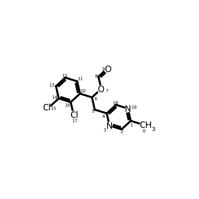 Cc1cnc(CC(OC=O)c2cccc(Cl)c2Cl)cn1